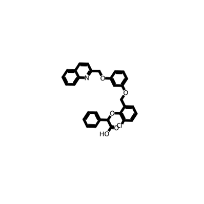 O=C(O)C(Oc1c(Cl)cccc1COc1cccc(OCc2ccc3ccccc3n2)c1)c1ccccc1